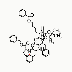 CC(C)(C)OC(=O)N[C@@H](CCCCOC(=O)c1ccccc1)C(=O)N[C@@H](Cc1ccccc1)C(=O)N[C@@H](Cc1ccccc1)C(=O)N1CCC[C@@H]1C(=O)OCc1ccccc1